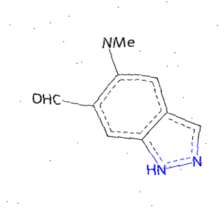 CNc1cc2cn[nH]c2cc1C=O